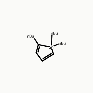 CCCC[C]1=CC=[CH][Sn]1([CH2]CCC)[CH2]CCC